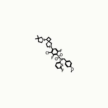 COc1ccc(CN(c2cccc(F)n2)S(=O)(=O)c2c(F)cc(N3CC[C@@]4(CCC4N4CCC(C)(C)C4)C3)c(Cl)c2F)cc1